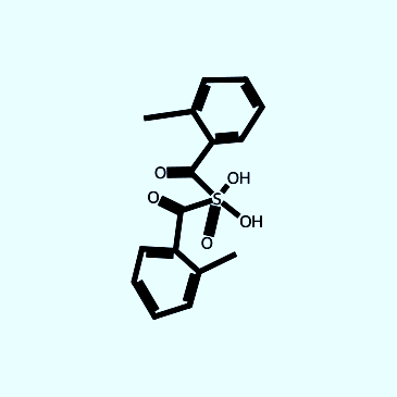 Cc1ccccc1C(=O)S(=O)(O)(O)C(=O)c1ccccc1C